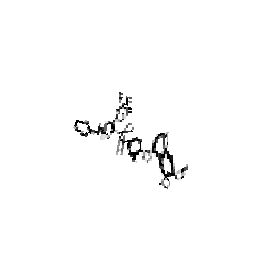 COc1cc2nccc(Oc3ccc(NC(=O)c4nn(C5CCCC5)cc4OCC(F)(F)F)cc3C)c2cc1OC